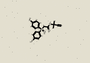 C#CC(C)(C)OC(=O)CP(=O)(c1ccc(F)cc1)c1ccc(F)cc1